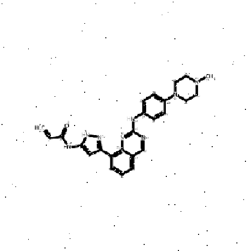 C=CC(=O)Nc1cc(-c2cccc3cnc(Nc4ccc(N5CCN(C)CC5)cc4)nc23)n[nH]1